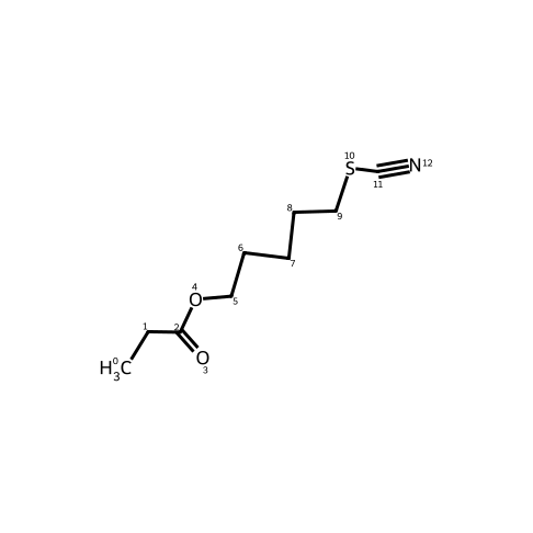 CCC(=O)OCCCCCSC#N